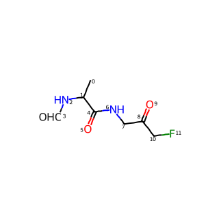 CC(NC=O)C(=O)NCC(=O)CF